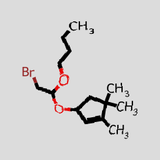 CCCCOC(CBr)OC1C=C(C)C(C)(C)C1